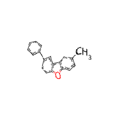 Cc1ccc2oc3ccc(-c4ccccc4)cc3c2c1